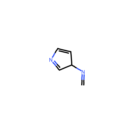 C=NC1C=CN=C1